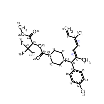 C=C/C(Cl)=C\C=C(/C)C(c1ccc(Cl)cc1)N1CCN(C(=O)OC(C(=O)OC)C(F)(F)F)CC1